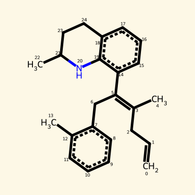 C=CC/C(C)=C(\Cc1ccccc1C)c1cccc2c1NC(C)CC2